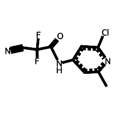 Cc1cc(NC(=O)C(F)(F)C#N)cc(Cl)n1